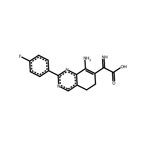 N=C(C(=O)O)C1=C(N)c2nc(-c3ccc(F)cc3)ncc2CC1